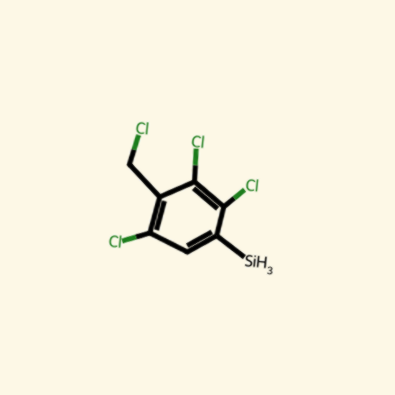 [SiH3]c1cc(Cl)c(CCl)c(Cl)c1Cl